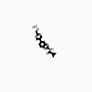 CCCOCc1ncc(-c2ccc3nc(NC(=O)C4CC4)sc3c2)cn1